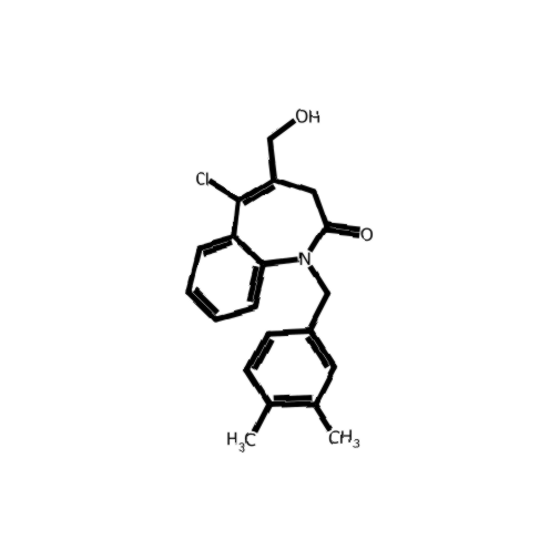 Cc1ccc(CN2C(=O)CC(CO)=C(Cl)c3ccccc32)cc1C